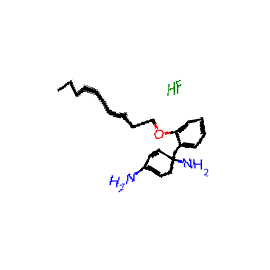 CCCCCCCCOc1ccccc1C1(N)C=CC(N)=CC1.F